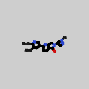 CCn1cc(N2Cc3nc(-c4cnc(OC)c(OC)c4)ccc3C2=O)cn1